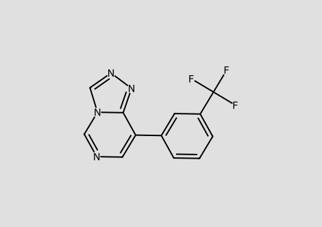 FC(F)(F)c1cccc(-c2cncn3cnnc23)c1